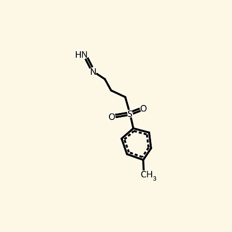 Cc1ccc(S(=O)(=O)CCCN=N)cc1